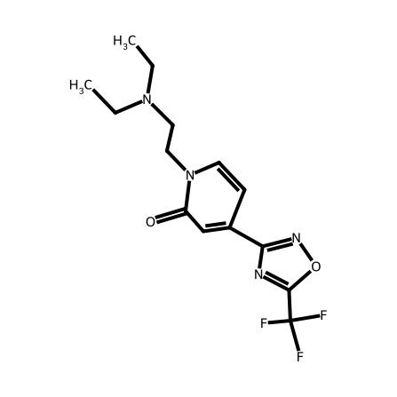 CCN(CC)CCn1ccc(-c2noc(C(F)(F)F)n2)cc1=O